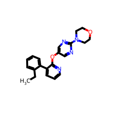 CCc1ccccc1-c1cccnc1Oc1cnc(N2CCOCC2)nc1